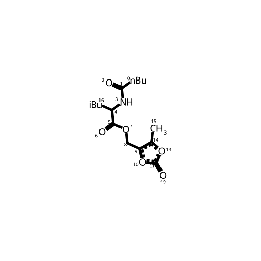 CCCCC(=O)NC(C(=O)OCc1oc(=O)oc1C)C(C)CC